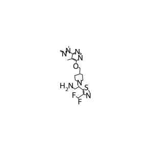 C=NN(C)c1ncnc(OCC2CCN(C(CN)c3scnc3C(F)F)CC2)c1C